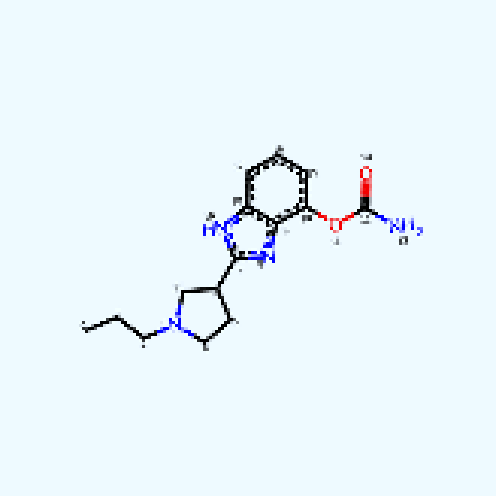 CCCN1CCC(c2nc3c(OC(N)=O)cccc3[nH]2)C1